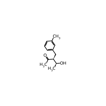 CC(=O)[C@@H](Cc1cccc(C)c1)[C@H](C)O